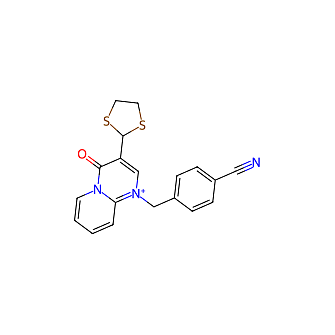 N#Cc1ccc(C[n+]2cc(C3SCCS3)c(=O)n3ccccc32)cc1